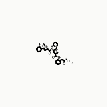 COC(=O)Cc1ccccc1NC(=O)c1ccc(N2CCCCC2)c(NC(=O)c2cc(-c3ccccc3)n(C)n2)c1